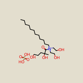 CCCCCCCCCCCC[N+](CCO)(CCO)C(=O)C(C)(O)CCCO.O=S(=O)(O)O